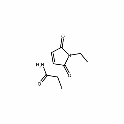 CCN1C(=O)C=CC1=O.NC(=O)CI